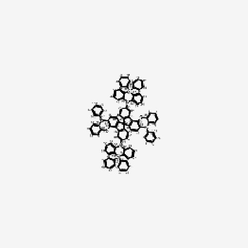 c1ccc(B2c3ccccc3Sc3c2ccc2c3-c3cc(N4c5ccccc5[Si](c5ccccc5)(c5ccccc5)c5ccccc54)ccc3C23c2ccc(N4c5ccccc5[Si](c5ccccc5)(c5ccccc5)c5ccccc54)cc2-c2c3ccc3c2Sc2ccccc2B3c2ccccc2)cc1